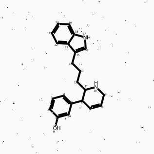 Oc1cccc(C2C=CCNC2CCCc2c[nH]c3ccccc23)c1